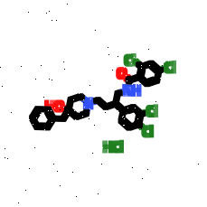 Cl.O=C(NCC(CCN1CCC(O)(Cc2ccccc2)CC1)c1ccc(Cl)c(Cl)c1)c1ccc(Cl)cc1Cl